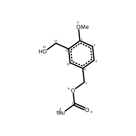 COc1ccc(COC(=O)C(C)(C)C)cc1CO